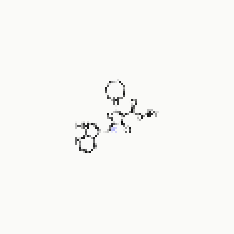 CC(C)OC(=O)C1=C(N2CCCCCC2)O/C(=C\c2c[nH]c3ncccc23)C1=O